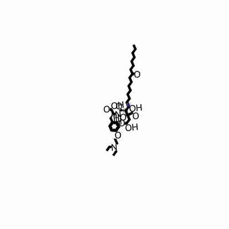 CCCCCCCC(=O)CCCCCC/C=C/[C@H](C(=O)N[C@@H](Cc1ccc(OCCN(CC)CC)cc1)C(=O)O)[C@@](O)(CC(=O)O)C(=O)O